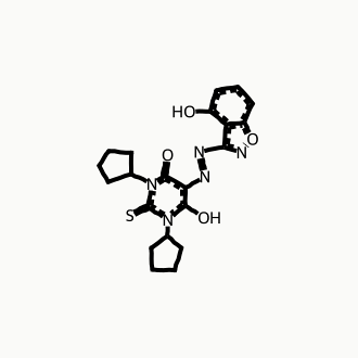 O=c1c(N=Nc2noc3cccc(O)c23)c(O)n(C2CCCC2)c(=S)n1C1CCCC1